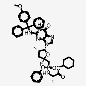 COc1ccc(C(Nc2nc3c(ncn3[C@@H]3O[C@](F)(CP(=O)(N[C@@H](C)C(=O)OC4CCCCC4)Oc4ccccc4)C[C@@H]3C)c(=O)[nH]2)(c2ccccc2)c2ccccc2)cc1